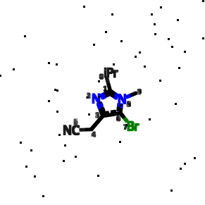 CC(C)c1nc(CC#N)c(Br)n1C